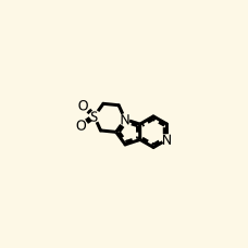 O=S1(=O)CCn2c(cc3cnccc32)C1